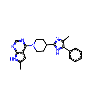 Cc1cc2c(N3CCC(c4nc(C)c(-c5ccccc5)[nH]4)CC3)ncnc2[nH]1